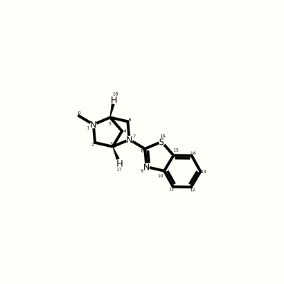 CN1C[C@@H]2C[C@H]1CN2c1nc2ccccc2s1